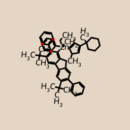 [CH2]=[Zn]([CH2]C)([C]1=CC(C2(C)CCCCC2)=CC1C)([c]1ccccc1)[c]1c2c(cc(C(C)(C)C)c1-c1ccccc1)-c1cc(C(C)(C)C)c(-c3ccccc3)cc1C2